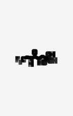 O=C(CCC(O)(O)O)NCC(F)(F)F